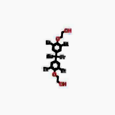 CCc1cc(C(c2cc(CC)c(OCCO)c(CC)c2)(C(C)C)C(C)CC)cc(CC)c1OCCO